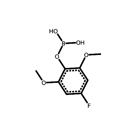 COc1cc(F)cc(OC)c1OB(O)O